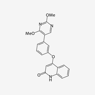 COc1ncc(-c2cccc(Oc3cc(=O)[nH]c4ccccc34)c2)c(OC)n1